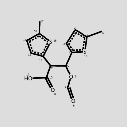 Cc1ccc(C(OC=O)C(C(=O)O)c2ccc(C)s2)s1